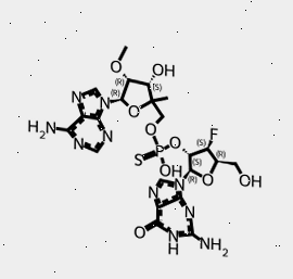 CO[C@H]1[C@H](n2cnc3c(N)ncnc32)OC(C)(COP(O)(=S)O[C@@H]2[C@@H](F)[C@@H](CO)O[C@H]2n2cnc3c(=O)[nH]c(N)nc32)[C@H]1O